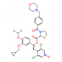 O=C(O[C@@H](Cc1c(Cl)c[n+]([O-])cc1Cl)c1ccc(OC(F)F)c(OCC2CC2)c1)C1SCCN1C(=O)c1ccc(CN2CCOCC2)cc1